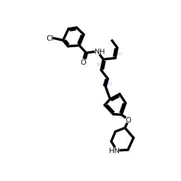 C\C=C/C(=C\C=C\c1ccc(OC2CCNCC2)cc1)NC(=O)c1cccc(Cl)c1